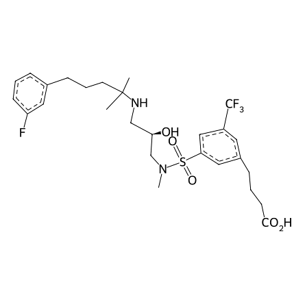 CN(C[C@H](O)CNC(C)(C)CCCc1cccc(F)c1)S(=O)(=O)c1cc(CCCC(=O)O)cc(C(F)(F)F)c1